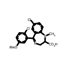 COc1ccc(Cl)c(C2=NCC(C(=O)O)N(C)c3ccc(Cl)cc32)c1